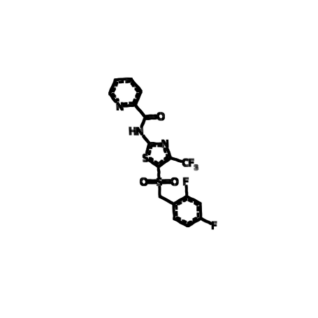 O=C(Nc1nc(C(F)(F)F)c(S(=O)(=O)Cc2ccc(F)cc2F)s1)c1ccccn1